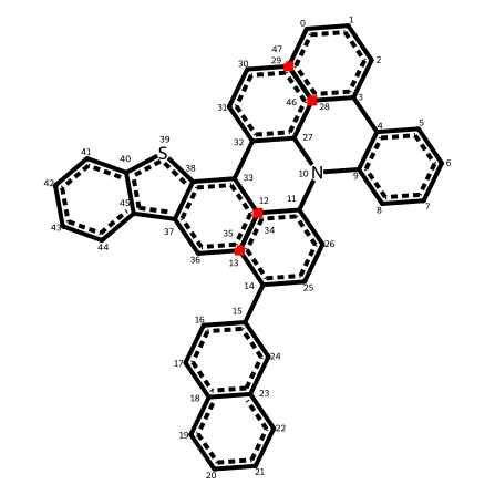 c1ccc(-c2ccccc2N(c2ccc(-c3ccc4ccccc4c3)cc2)c2ccccc2-c2cccc3c2sc2ccccc23)cc1